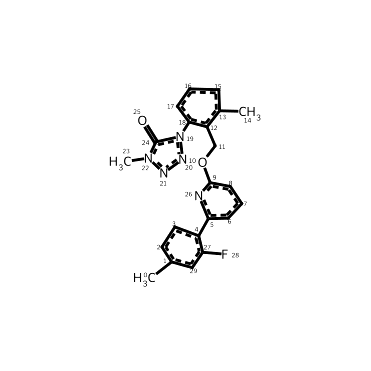 Cc1ccc(-c2cccc(OCc3c(C)cccc3-n3nnn(C)c3=O)n2)c(F)c1